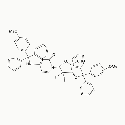 COc1ccc(C(Nc2ccn(C3O[C@H](C=O)[C@@H](OC(c4ccccc4)(c4ccccc4)c4ccc(OC)cc4)C3(F)F)c(=O)n2)(c2ccccc2)c2ccccc2)cc1